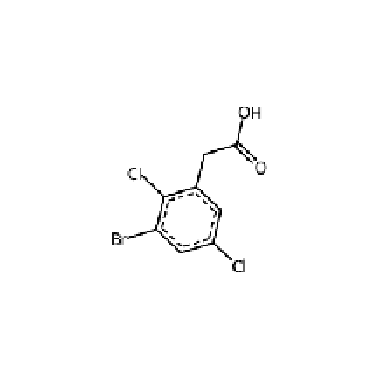 O=C(O)Cc1cc(Cl)cc(Br)c1Cl